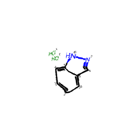 Cl.Cl.c1ccc2[nH]ncc2c1